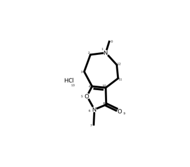 CN1CCc2on(C)c(=O)c2CC1.Cl